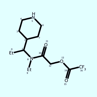 CCC(C1CCNCC1)N(CC)C(=O)COC(=O)C(F)(F)F